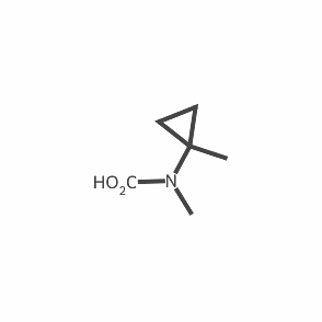 CN(C(=O)O)C1(C)CC1